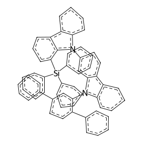 c1ccc(-c2ccc(-c3ccccc3)c(-n3c4ccccc4c4ccc(-n5c6ccccc6c6cccc([Si](c7ccccc7)(c7ccccc7)c7ccccc7)c65)cc43)c2)cc1